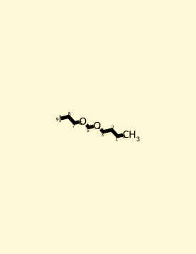 CCCCOCOCCI